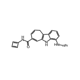 CCCNc1cccc2c3c([nH]c12)C=C(C(=O)NC1=CC=C1)C=CC3